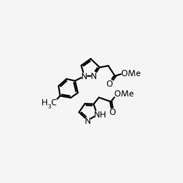 COC(=O)Cc1ccn(-c2ccc(C)cc2)n1.COC(=O)Cc1ccn[nH]1